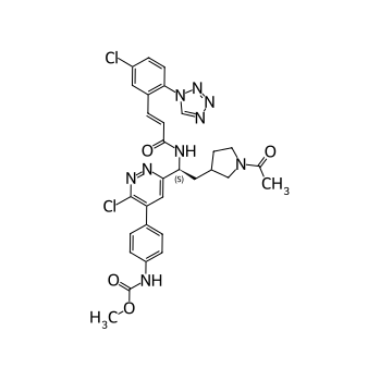 COC(=O)Nc1ccc(-c2cc([C@H](CC3CCN(C(C)=O)C3)NC(=O)C=Cc3cc(Cl)ccc3-n3cnnn3)nnc2Cl)cc1